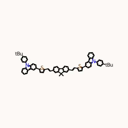 CC(C)(C)c1ccc(-n2c3ccccc3c3cc(-c4ccc(/C=C/c5ccc6c(c5)C(C)(C)c5cc(/C=C/c7ccc(-c8ccc9c(c8)c8ccccc8n9-c8ccc(C(C)(C)C)cc8)s7)ccc5-6)s4)ccc32)cc1